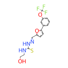 OCCNC(=S)N/N=C/c1ccc(-c2cccc(OC(F)(F)F)c2)o1